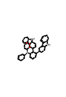 c1ccc(N(c2ccccc2)c2cccc(-c3ccc4[nH]c5ccccc5c4c3)c2-c2ccc3[nH]c4ccccc4c3c2)cc1